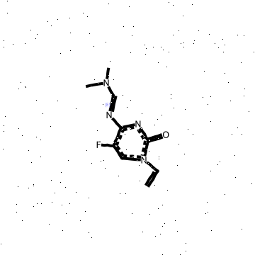 C=Cn1cc(F)c(/N=C/N(C)C)nc1=O